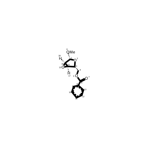 CO[C@@H]1O[C@H](COC(=O)c2ccccc2)[C@H]2O[C@@H]12